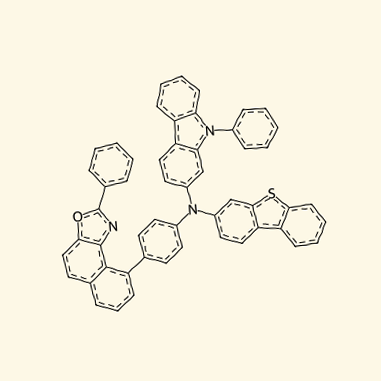 c1ccc(-c2nc3c(ccc4cccc(-c5ccc(N(c6ccc7c(c6)sc6ccccc67)c6ccc7c8ccccc8n(-c8ccccc8)c7c6)cc5)c43)o2)cc1